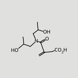 C=C(CC(=O)O)C(=O)N(CC(C)O)CC(C)O